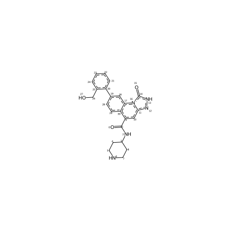 O=C(NC1CCNCC1)c1cc2n[nH]c(=O)n2c2cc(-c3ccccc3CO)ccc12